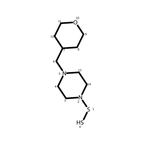 SSN1CCN(CC2CCOCC2)CC1